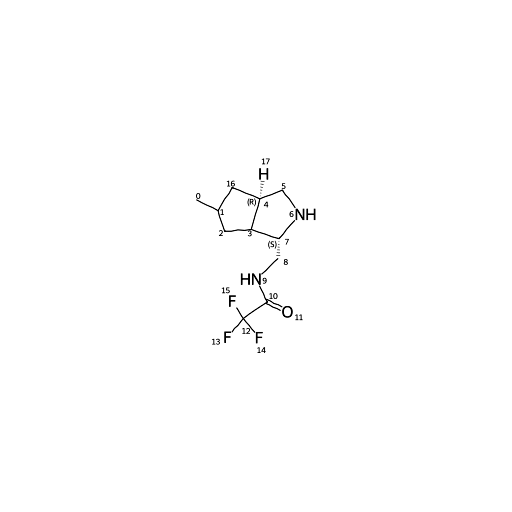 CC1CC2[C@H](CN[C@@H]2CNC(=O)C(F)(F)F)C1